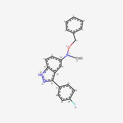 O=CN(OCc1ccccc1)c1ccc2[nH]nc(-c3ccc(F)cc3)c2c1